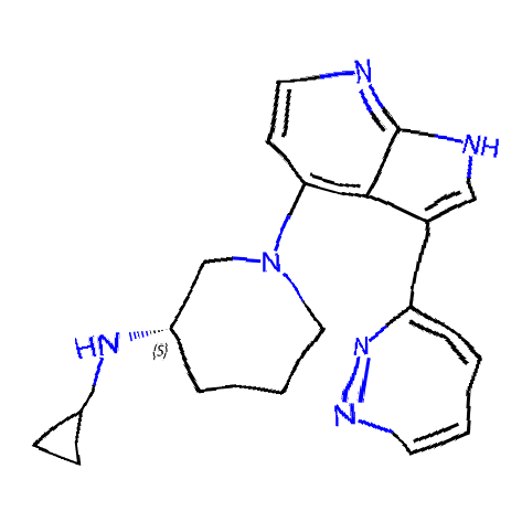 c1cnnc(-c2c[nH]c3nccc(N4CCC[C@H](NC5CC5)C4)c23)c1